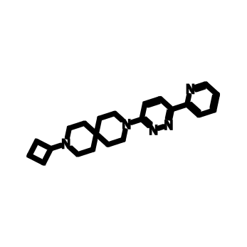 c1ccc(-c2ccc(N3CCC4(CC3)CCN(C3CCC3)CC4)nn2)nc1